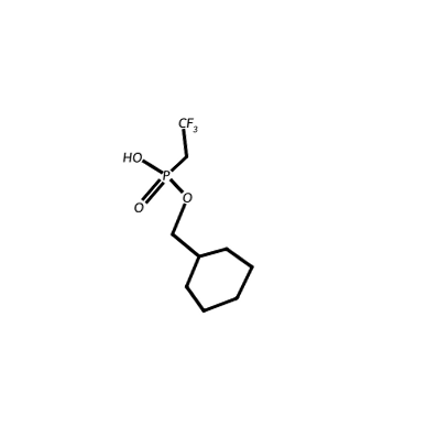 O=P(O)(CC(F)(F)F)OCC1CCCCC1